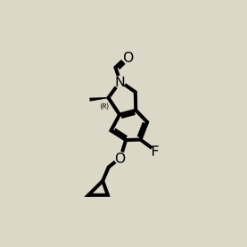 C[C@@H]1c2cc(OCC3CC3)c(F)cc2CN1C=O